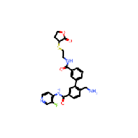 NCc1ccc(C(=O)Nc2ccncc2F)cc1-c1cccc(C(=O)NCCSC2CCOC2=O)c1